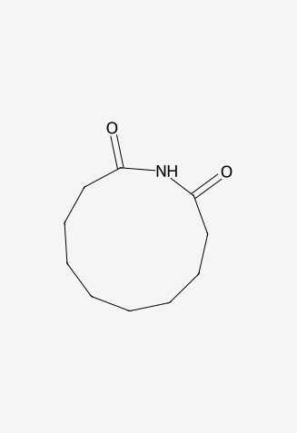 O=C1CCCCCCCCC(=O)N1